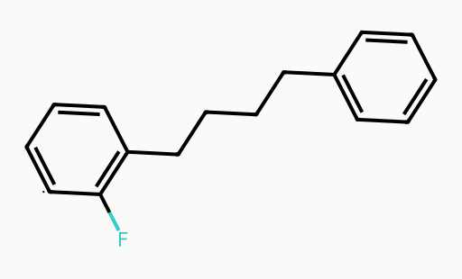 Fc1[c]cccc1CCCCc1ccccc1